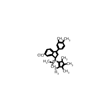 CC1=C(C)C(C)[C]([Zr+2]([CH]2C=C(c3ccc(C)c(C)c3)c3ccccc32)=[Si](C)C)=C1C.[Cl-].[Cl-]